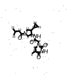 Cc1cn(CC(=O)N[C@@H]2CN(C(=O)CC(C)C)CC2C2CC2)c(=O)[nH]c1=O